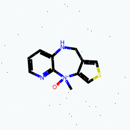 C[N+]1([O-])c2cscc2CNc2cccnc21